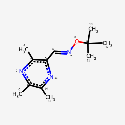 Cc1nc(C)c(C=NOC(C)(C)C)nc1C